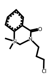 C[Si]1(C)CN(CCCCl)C(=O)c2ccccc21